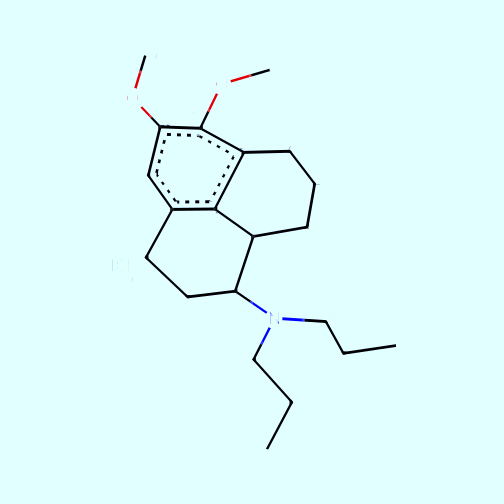 CCCN(CCC)C1CCc2cc(OC)c(OC)c3c2C1CCC3.Cl